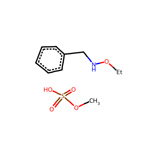 CCONCc1ccccc1.COS(=O)(=O)O